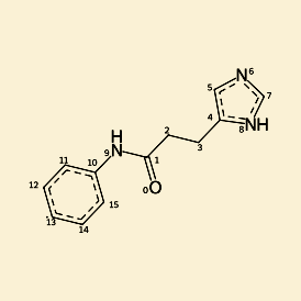 O=C(CCc1cnc[nH]1)Nc1cc[c]cc1